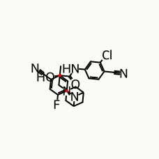 CC(O)(CN1CC2CC(C1)N2c1ccc(C#N)cc1F)C(=O)Nc1ccc(C#N)c(Cl)c1